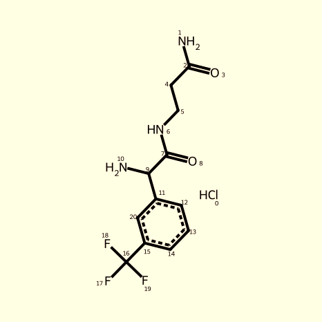 Cl.NC(=O)CCNC(=O)C(N)c1cccc(C(F)(F)F)c1